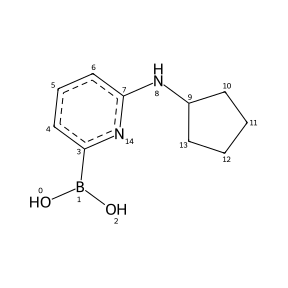 OB(O)c1cccc(NC2CCCC2)n1